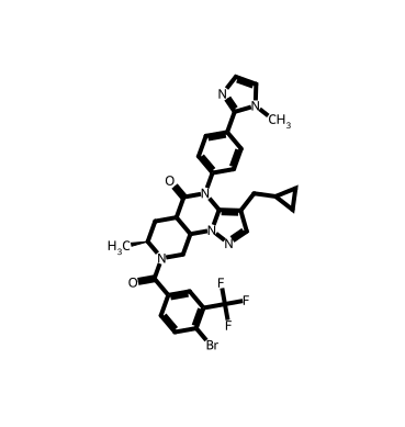 C[C@H]1CC2C(=O)N(c3ccc(-c4nccn4C)cc3)c3c(CC4CC4)cnn3C2CN1C(=O)c1ccc(Br)c(C(F)(F)F)c1